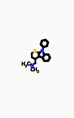 CN(C)CC1CCSc2c1c1ccccc1n2-c1ccccc1